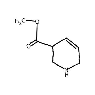 COC(=O)C1C=CCNC1